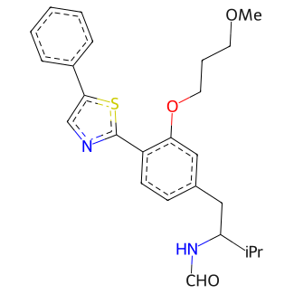 COCCCOc1cc(CC(NC=O)C(C)C)ccc1-c1ncc(-c2ccccc2)s1